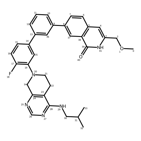 COCc1cc2ccc(-c3cccc(-c4ccc(F)c(N5CCc6c(ncnc6NCC(C)C)C5)c4)c3)cc2c(=O)[nH]1